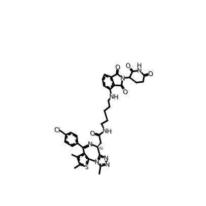 Cc1sc2c(c1C)C(c1ccc(Cl)cc1)=N[C@@H](CC(=O)NCCCCCNc1cccc3c1C(=O)N(C1CCC(=O)NC1=O)C3=O)c1nnc(C)n1-2